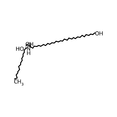 CCCCCCCCCCCCCCC[C@@H](O)[C@H](CO)NC(=O)CCCCCCCCCCCCCCCCCCCCCCCCCCCCCCO